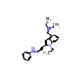 CCN(CC)Cc1cccc2c1cc(C#CCNc1ccccc1)n2CC